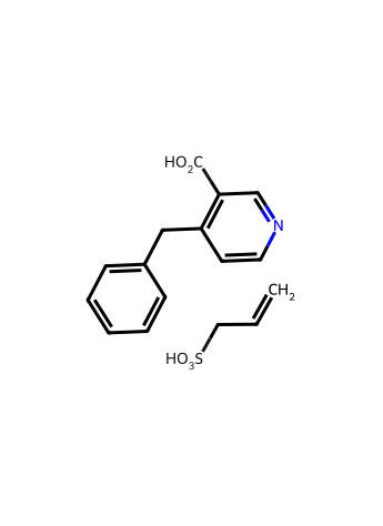 C=CCS(=O)(=O)O.O=C(O)c1cnccc1Cc1ccccc1